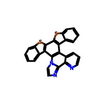 c1ccc2c(c1)sc1c3sc4ccccc4c3c3c(c4cccnc4c4nccn43)c21